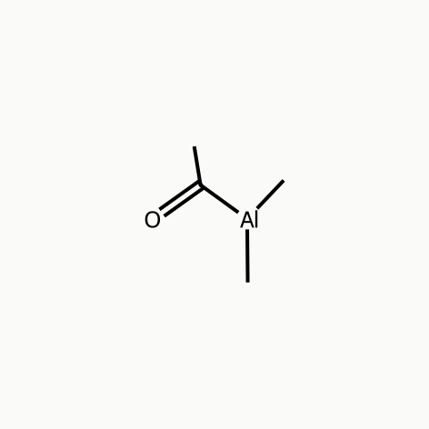 C[C](=O)[Al]([CH3])[CH3]